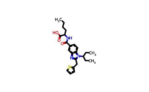 CCCCC(NC(=O)c1ccc2c(c1)nc(Cc1cccs1)n2C(CC)CC)C(=O)O